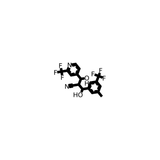 Cc1cc(C(O)C(C#N)C(O)c2ccnc(C(F)(F)F)c2)cc(C(F)(F)F)c1